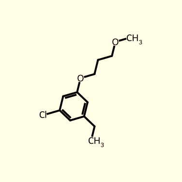 CCc1cc(Cl)cc(OCCCOC)c1